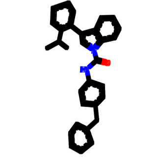 CC(C)c1ccccc1-c1cn(C(=O)Nc2ccc(Cc3ccccc3)cc2)c2ccccc12